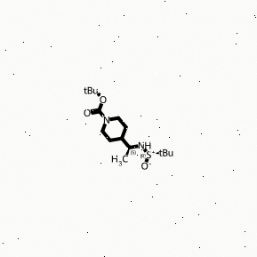 C[C@H](N[S@@+]([O-])C(C)(C)C)C1CCN(C(=O)OC(C)(C)C)CC1